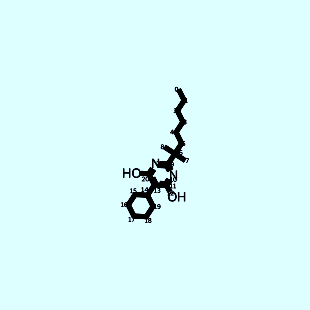 CCCCCCC(C)(C)c1nc(O)c(C2CCCCC2)c(O)n1